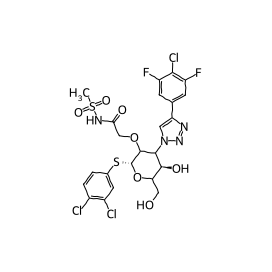 CS(=O)(=O)NC(=O)COC1C(n2cc(-c3cc(F)c(Cl)c(F)c3)nn2)[C@@H](O)C(CO)O[C@@H]1Sc1ccc(Cl)c(Cl)c1